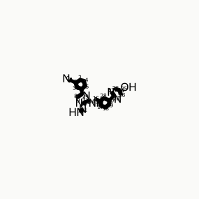 N#Cc1cccc(-c2cnc(N=N)c(NCc3cccc(-c4ncc(O)cn4)c3)n2)c1